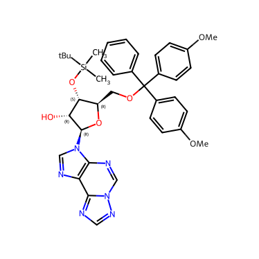 COc1ccc(C(OC[C@H]2O[C@@H](n3cnc4c3ncn3ncnc43)[C@H](O)[C@@H]2O[Si](C)(C)C(C)(C)C)(c2ccccc2)c2ccc(OC)cc2)cc1